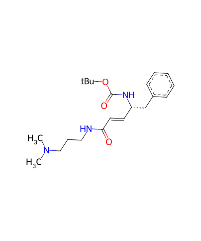 CN(C)CCCNC(=O)C=C[C@@H](Cc1ccccc1)NC(=O)OC(C)(C)C